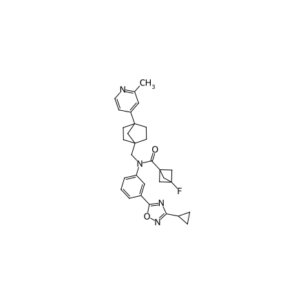 Cc1cc(C23CCC(CN(C(=O)C45CC(F)(C4)C5)c4cccc(-c5nc(C6CC6)no5)c4)(CC2)C3)ccn1